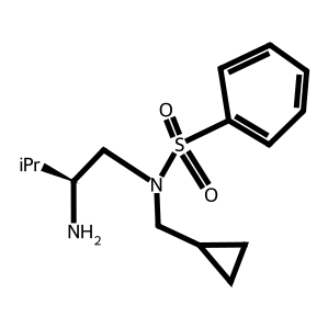 CC(C)[C@H](N)CN(CC1CC1)S(=O)(=O)c1ccccc1